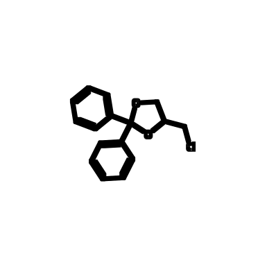 ClCC1COC(c2ccccc2)(c2ccccc2)O1